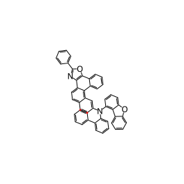 c1ccc(-c2nc3c4ccc5ccc(N(c6ccccc6-c6ccccc6)c6cccc7oc8ccccc8c67)cc5c4c4ccccc4c3o2)cc1